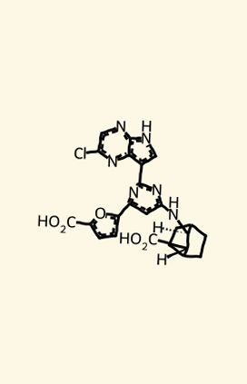 O=C(O)c1ccc(-c2cc(N[C@H]3C4CCC(CC4)[C@@H]3C(=O)O)nc(-c3c[nH]c4ncc(Cl)nc34)n2)o1